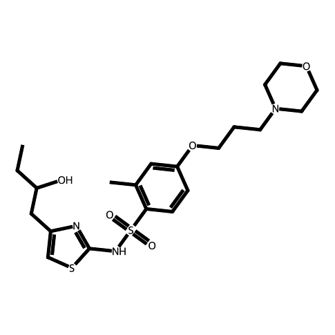 CCC(O)Cc1csc(NS(=O)(=O)c2ccc(OCCCN3CCOCC3)cc2C)n1